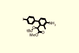 COC(=O)C(OC(C)(C)C)c1c(-c2ccc(I)cc2)ccc(N)c1C